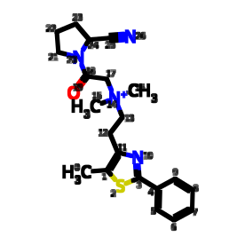 Cc1sc(-c2ccccc2)nc1CC[N+](C)(C)CC(=O)N1CCCC1C#N